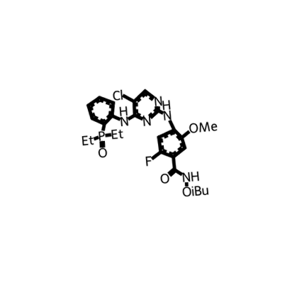 CCP(=O)(CC)c1ccccc1Nc1nc(Nc2cc(F)c(C(=O)NOCC(C)C)cc2OC)ncc1Cl